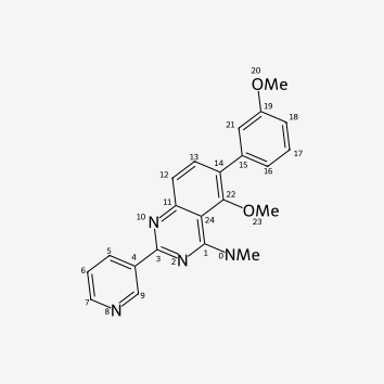 CNc1nc(-c2cccnc2)nc2ccc(-c3cccc(OC)c3)c(OC)c12